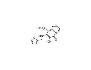 CCOC(=O)c1c(NCc2ccco2)c(C#N)c(=O)n2ccccc12